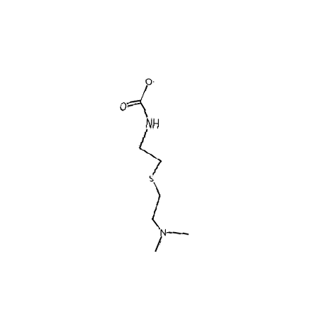 CN(C)CCSCCNC([O])=O